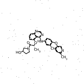 Cc1ccc(Oc2ccc(Nc3ncnc4cccc(O[C@H](C)C(=O)N5CCC(O)C5)c34)cc2C)cn1